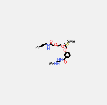 CSS[C@@](C)(COc1cccc(C(=O)NCCNC(C)C)c1)OCCOCC(=O)NCC#CC(C)C